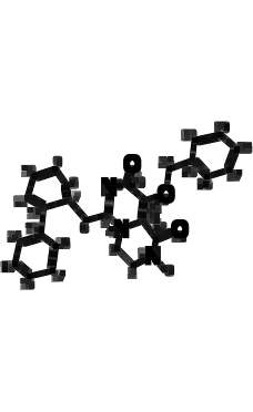 CN1CCn2c(Cc3ccccc3-c3ccccc3)nc(=O)c(OCc3ccccc3)c2C1=O